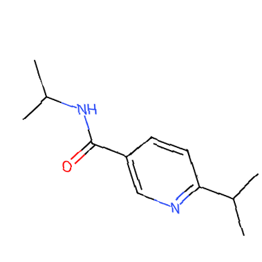 CC(C)NC(=O)c1ccc(C(C)C)nc1